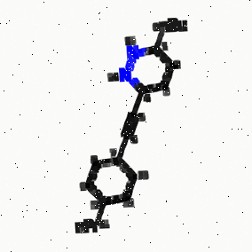 CCCCc1ccc(C#Cc2ccc(CCC)cc2)nn1